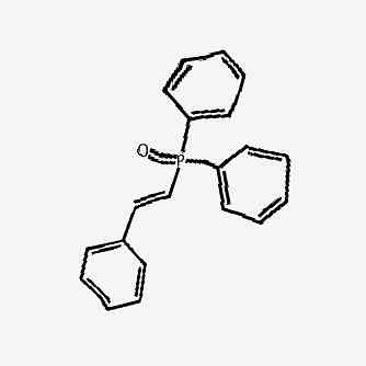 O=P(C=Cc1ccccc1)(c1ccccc1)c1ccccc1